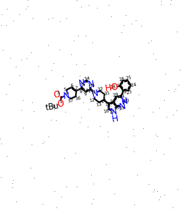 CC(C)(C)OC(=O)N1CC=C(c2cc(N3CCC(c4c[nH]c5nnc(-c6ccccc6O)cc45)CC3)ncn2)CC1